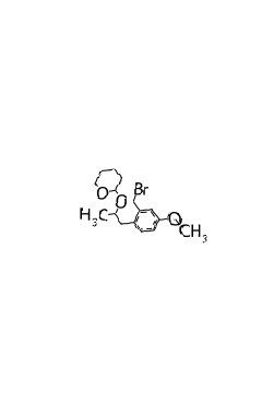 COc1ccc(CC(C)OC2CCCCO2)c(CBr)c1